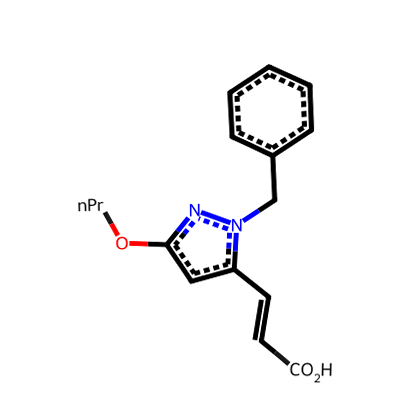 CCCOc1cc(C=CC(=O)O)n(Cc2ccccc2)n1